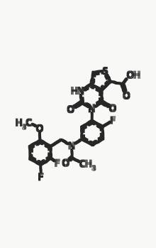 COc1ccc(F)c(F)c1CN(C(C)=O)c1ccc(F)c(-n2c(=O)[nH]c3csc(C(=O)O)c3c2=O)c1